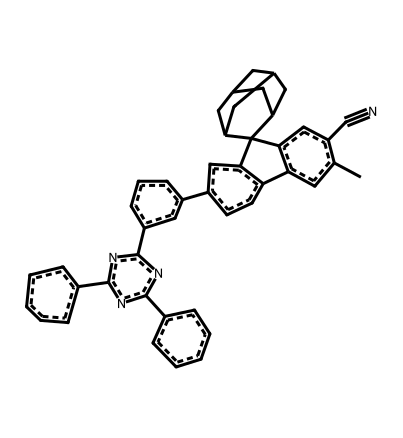 Cc1cc2c(cc1C#N)C1(c3cc(-c4cccc(-c5nc(-c6ccccc6)nc(-c6ccccc6)n5)c4)ccc3-2)C2CC3CC(C2)CC1C3